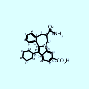 NC(=O)C1Cc2ccccc2-c2c(C3CCCCC3)c3ccc(C(=O)O)cc3n2C1